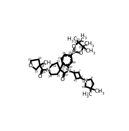 CC1(C)CCN(C2CC(N3C(=O)C4(CCN(C(=O)C5(C)CCOC5)CC4)c4ccc(B5OC(C)(C)C(C)(C)O5)cc43)C2)C1